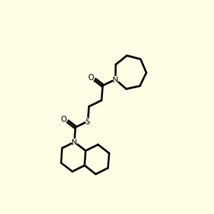 O=C(CCSC(=O)N1CCCC2CCCCC21)N1CCCCCC1